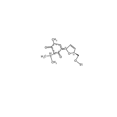 CCOC[C@@H]1C=C[C@H](n2cc(C)c(=O)n([SH](C)C)c2=O)O1